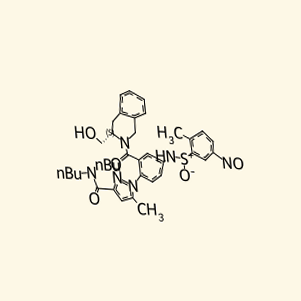 CCCCN(CCCC)C(=O)c1cc(C)n(-c2ccc(N[S+]([O-])c3cc(N=O)ccc3C)cc2C(=O)N2Cc3ccccc3C[C@H]2CO)n1